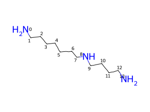 NCCCCCCCNCCCCN